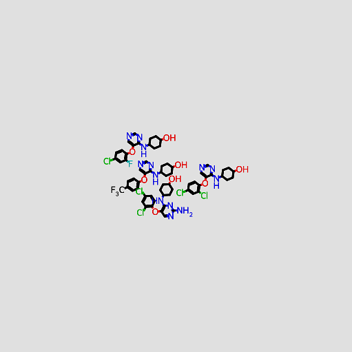 Nc1ncc(Oc2ccc(Cl)cc2Cl)c(NC2CCC(O)CC2)n1.OC1CCC(Nc2ncncc2Oc2ccc(C(F)(F)F)cc2)CC1.OC1CCC(Nc2ncncc2Oc2ccc(Cl)cc2Cl)CC1.OC1CCC(Nc2ncncc2Oc2ccc(Cl)cc2F)CC1